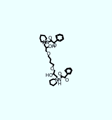 O=C(N[N+]1(CC(O)COCCCCOCC(O)C[N+]2(NC(=O)C(=O)c3ccccc3)CCCCC2)CCCCC1)C(=O)c1ccccc1